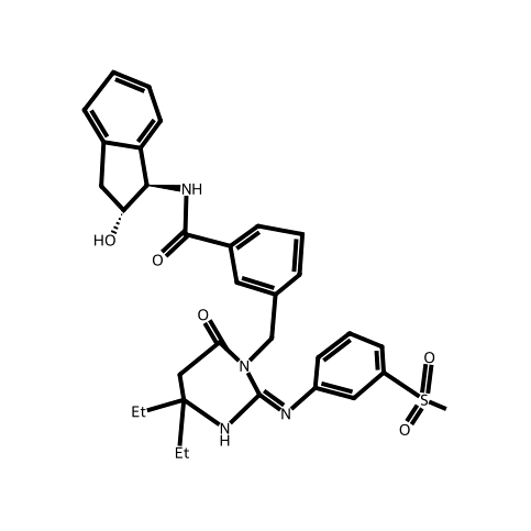 CCC1(CC)CC(=O)N(Cc2cccc(C(=O)N[C@@H]3c4ccccc4C[C@H]3O)c2)/C(=N\c2cccc(S(C)(=O)=O)c2)N1